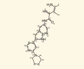 C/C(N)=C(\C)C(=N)C(=O)Nc1cnc2[nH]c(-c3ccnc(N4CCCCC4)c3)cc2c1